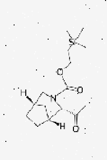 CC(=O)[C@@H]1[C@@H]2CC[C@@H](C2)CN1C(=O)OCC[Si](C)(C)C